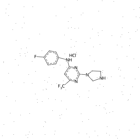 Cl.Fc1ccc(Nc2cc(C(F)(F)F)nc(N3CCNC3)n2)cc1